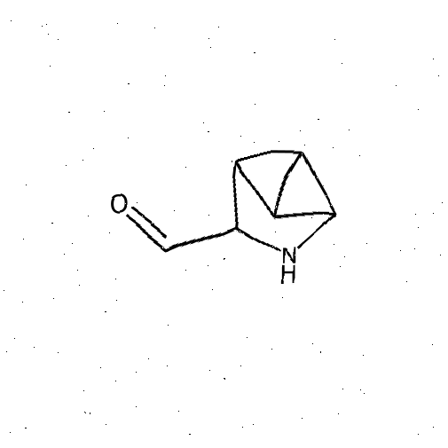 O=CC1NC2C3C1C23